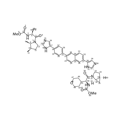 COC(=O)N[C@H](C(=O)N1[C@H](C)[C@H](C)C[C@H]1c1ncc(-c2ccc(-c3ccc4cc(-c5cnc([C@@H]6C[C@H]7C[C@H]7N6C(=O)[C@@H](NC(=O)OC)C6CCOCC6)[nH]5)ccc4c3)cc2)[nH]1)C(C)C